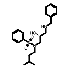 CC(C)CCN(C[C@H](O)CNCc1ccccc1)S(=O)(=O)c1ccccc1